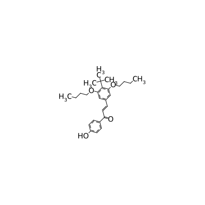 CCCCOc1cc(C=CC(=O)c2ccc(O)cc2)cc(OCCCC)c1C(C)(C)C